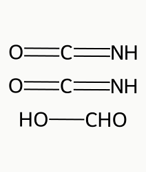 N=C=O.N=C=O.O=CO